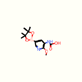 COc1ncc(B2OC(C)(C)C(C)(C)O2)cc1NC(=O)O